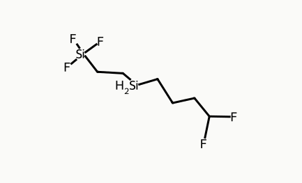 FC(F)CCC[SiH2]CC[Si](F)(F)F